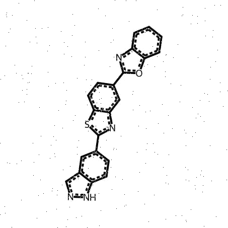 c1ccc2oc(-c3ccc4sc(-c5ccc6[nH]ncc6c5)nc4c3)nc2c1